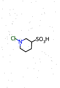 O=S(=O)(O)C1CCCN(Cl)C1